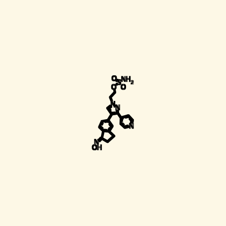 NS(=O)(=O)OCCn1cc(-c2ccc3c(c2)CC/C3=N\O)c(-c2ccncc2)n1